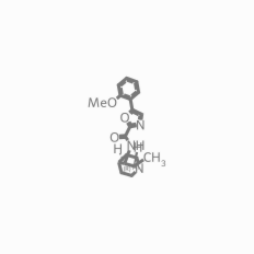 COc1ccccc1-c1cnc(C(=O)N[C@@H]2C3CCN(CC3)[C@H]2C)o1